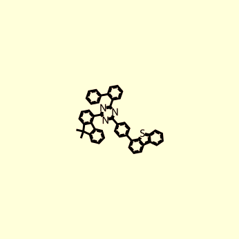 CC1(C)c2ccccc2-c2c(-c3nc(-c4ccc(-c5cccc6c5sc5ccccc56)cc4)nc(-c4ccccc4-c4ccccc4)n3)cccc21